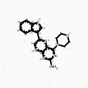 Nc1nc(N2CCOCC2)c2nc(-c3csc4ccccc34)cnc2n1